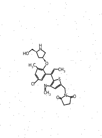 C=Nc1cc(CN2C(=O)CCC2=O)sc1/C(=C\C)c1cc(Cl)cc(C)c1O[C@@H]1CN[C@H](CO)C1